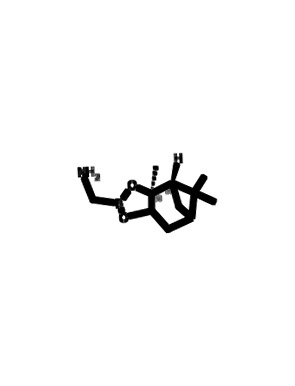 CC1(C)C2CC3OB(CN)O[C@@]3(C)[C@H]1C2